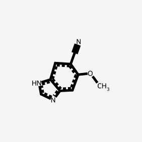 COc1cc2nc[nH]c2cc1C#N